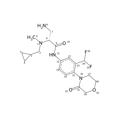 CN(CC1CC1)[C@H](CN)C(=O)Nc1ccc(N2CCOCC2=O)c(C(F)F)c1